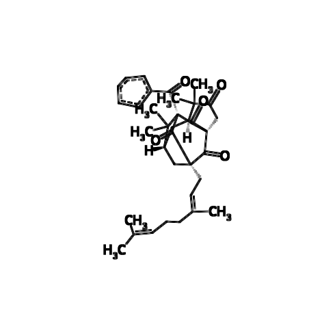 CC(C)=CCC/C(C)=C/C[C@@]12C[C@H]3C[C@H]4C(C)(C)C(=O)C[C@]4(C1=O)C(=O)[C@@](C(=O)c1ccccc1)(C2=O)C3(C)C